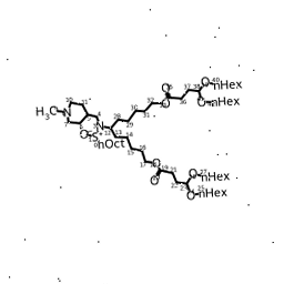 CCCCCCCC[S+]([O-])N(CC1CCN(C)CC1)C(CCCCCOC(=O)CCC(OCCCCCC)OCCCCCC)CCCCCOC(=O)CCC(OCCCCCC)OCCCCCC